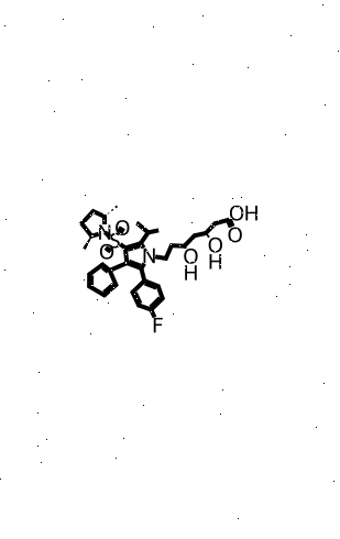 CC(C)c1c(S(=O)(=O)N2[C@@H](C)CC[C@@H]2C)c(-c2ccccc2)c(-c2ccc(F)cc2)n1CC[C@@H](O)C[C@@H](O)CC(=O)O